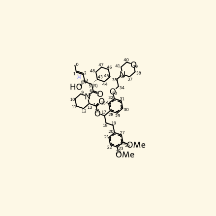 C/C=C/[C@@H](O)[C@@H](C(=O)N1CCCCC1C(=O)OC(CCc1ccc(OC)c(OC)c1)c1cccc(OCCN2CCOCC2)c1)C1CCCCC1